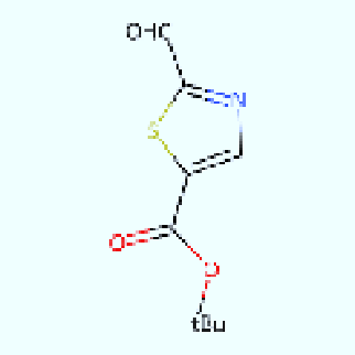 CC(C)(C)OC(=O)c1cnc(C=O)s1